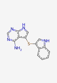 Nc1ncnc2[nH]cc(Sc3c[nH]c4ccccc34)c12